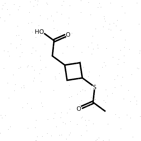 CC(=O)SC1CC(CC(=O)O)C1